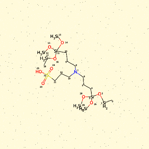 C[SiH2]O[Si](CCCN(CCC[Si](O[SiH3])(O[SiH3])O[SiH2]C)CCCS(=O)(=O)O)(O[SiH3])O[SiH3]